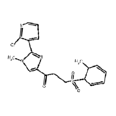 CC1C=CC=CC1S(=O)(=O)CCC(=O)c1cn(C)c(-c2cccnc2Cl)n1